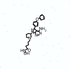 Nc1ncnc2c1c(-c1ccc(Oc3ccccc3)cc1)nn2C1CCCN(CCCCC(=O)NO)C1